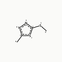 CSc1nnc(C)s1